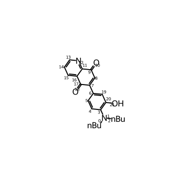 CCCCN(CCCC)c1ccc(C2=CC(=O)c3ncccc3C2=O)cc1O